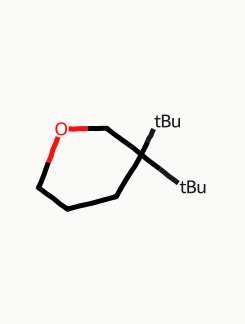 CC(C)(C)C1(C(C)(C)C)CCCOC1